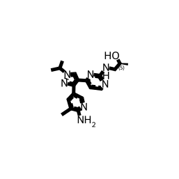 Cc1cc(-c2nn(C(C)C)cc2-c2ccnc(NC[C@H](C)O)n2)cnc1N